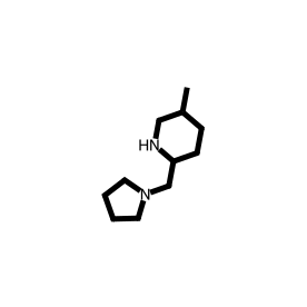 CC1CCC(CN2CCCC2)NC1